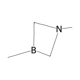 CB1CN(C)C1